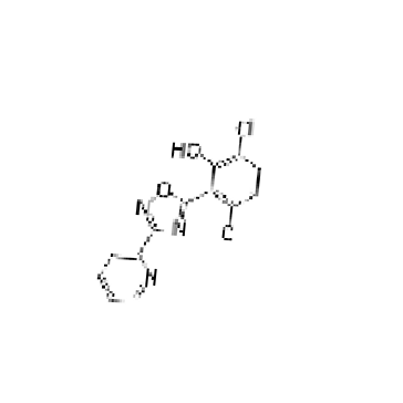 Oc1c(Cl)ccc(Cl)c1-c1nc(-c2ccccn2)no1